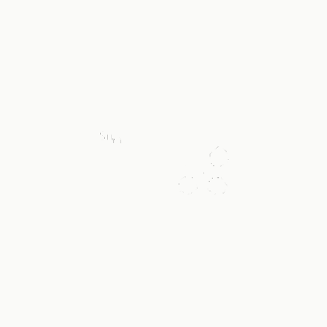 [Sn][O]CCCCCCCCCC(c1ccccc1)(c1ccccc1)c1ccccc1